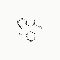 NC(=S)N(c1ccccc1)c1ccccc1.[Cu]